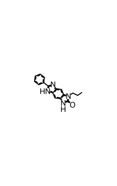 CCCn1c(=O)[nH]c2cc3[nH]c(-c4ccccc4)nc3cc21